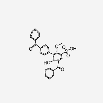 COc1c(S(=O)(=O)O)cc(C(=O)c2ccccc2)c(O)c1-c1ccc(C(=O)c2ccccc2)cc1